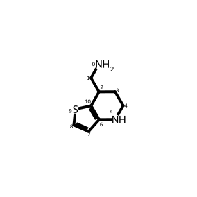 NCC1CCNc2ccsc21